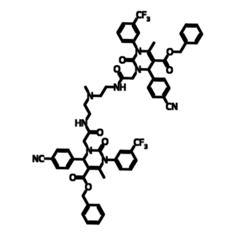 CC1=C(C(=O)OCc2ccccc2)C(c2ccc(C#N)cc2)N(CC(=O)NCCN(C)CCNC(=O)CN2C(=O)N(c3cccc(C(F)(F)F)c3)C(C)=C(C(=O)OCc3ccccc3)C2c2ccc(C#N)cc2)C(=O)N1c1cccc(C(F)(F)F)c1